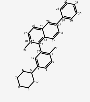 Cc1ccc(C2CCCCC2)cc1-c1c2ccc(-c3ccccc3)cc2cc[n+]1C